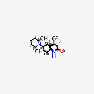 C[C@@H]1CCC[C@H](C)N1c1ccc2[nH]c(=O)cc(C(F)(F)F)c2c1